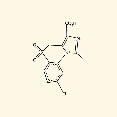 CC1=NC(C(=O)O)=C2CS(=O)(=O)c3ccc(Cl)cc3[N+]12